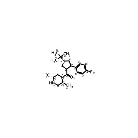 C[C@@H]1CN(C(=O)C2CN(C(C)(C)C)CC2c2ccc(F)cc2)[C@@H](C)CN1